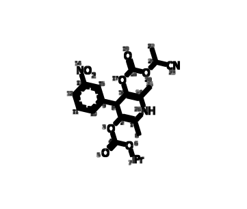 CC1=C(OC(=O)OC(C)C)C(c2cccc([N+](=O)[O-])c2)C(OC(=O)OC(C)C#N)=C(C)N1